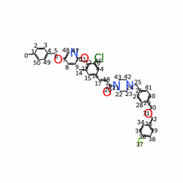 Cc1ccc(COc2ccc(Oc3c(C)cc(/C=C/C(=O)N4CCN(Cc5ccc(COCc6ccc(F)cc6)cc5)CC4)cc3Cl)nc2)cc1